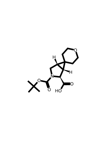 CC(C)(C)OC(=O)N1C[C@H]2[C@@H]([C@H]1C(=O)O)C21CCOCC1